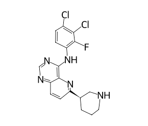 Fc1c(Nc2ncnc3ccc([C@@H]4CCCNC4)nc23)ccc(Cl)c1Cl